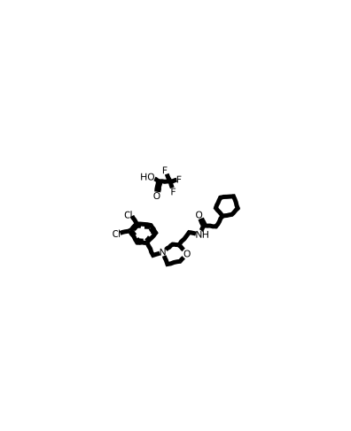 O=C(CC1CCCCC1)NCC1CN(Cc2ccc(Cl)c(Cl)c2)CCO1.O=C(O)C(F)(F)F